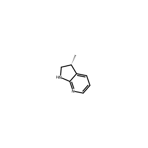 C[C@H]1CNc2ncccc21